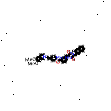 COc1cc2c(cc1OC)CN(CCc1ccc(NC(=O)c3cccc(C=c4[nH]c(=O)c(=Cc5ccc6ccccc6c5)n(C)c4=O)c3)cc1)CC2